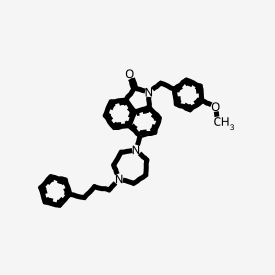 COc1ccc(CN2C(=O)c3cccc4c(N5CCCN(CCCc6ccccc6)CC5)ccc2c34)cc1